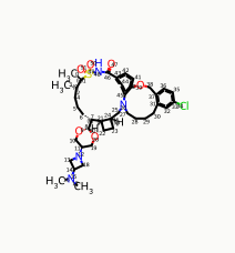 C[C@@H]1[C@@H](C)CCC[C@@H]([C@H]2OC[C@H](N3CC(N(C)C)C3)CO2)[C@@H]2CC[C@H]2CN2CCCCc3cc(Cl)ccc3COc3ccc(cc32)C(=O)NS1(=O)=O